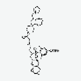 COc1cc(C)c(S(=O)(=O)N(CCOCC(=O)N2CCC(CCCN3CCCC3)(c3ccncc3)CC2)Cc2ccc3c(c2)OCOC3)c(C)c1